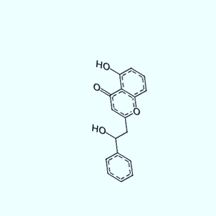 O=c1cc(CC(O)c2ccccc2)oc2cccc(O)c12